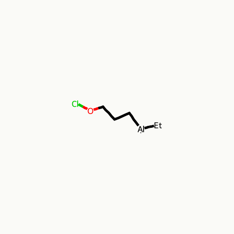 C[CH2][Al][CH2]CCOCl